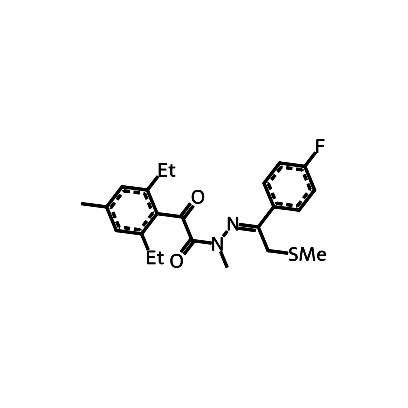 CCc1cc(C)cc(CC)c1C(=O)C(=O)N(C)/N=C(\CSC)c1ccc(F)cc1